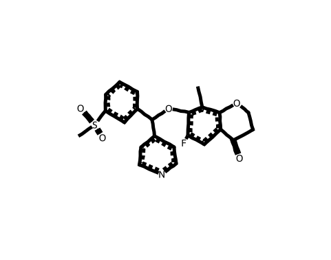 Cc1c(OC(c2ccncc2)c2cccc(S(C)(=O)=O)c2)c(F)cc2c1OCCC2=O